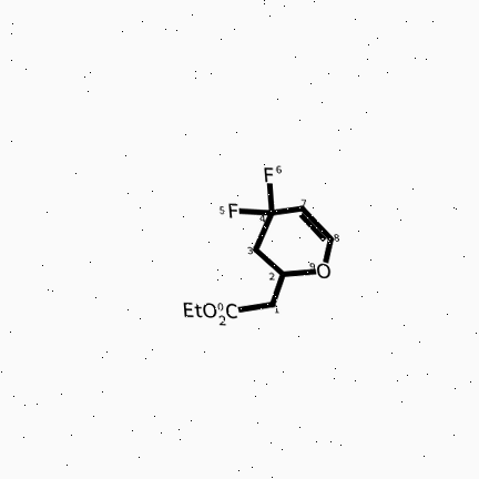 CCOC(=O)CC1CC(F)(F)C=CO1